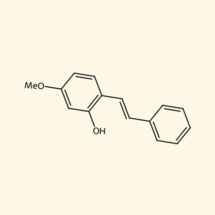 COc1ccc(C=Cc2ccccc2)c(O)c1